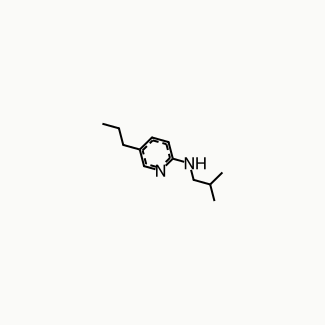 CCCc1ccc(NCC(C)C)nc1